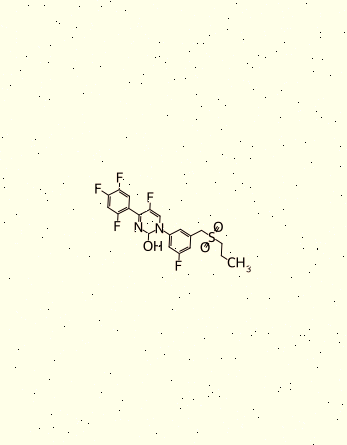 CCCS(=O)(=O)Cc1cc(F)cc(N2C=C(F)C(c3cc(F)c(F)cc3F)=NC2O)c1